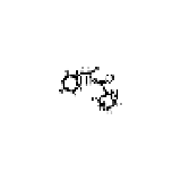 CC(Cc1ccccc1)NC(=O)c1cnccn1